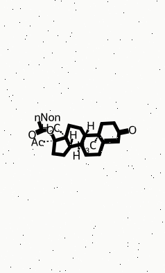 CCCCCCCCCC(=O)O[C@]1(C(C)=O)CC[C@H]2[C@@H]3CCC4=CC(=O)CC[C@]4(C)[C@H]3CC[C@@]21C